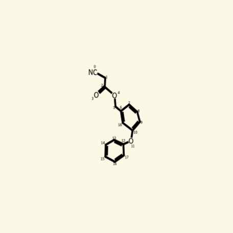 N#CCC(=O)OCc1cccc(Oc2ccccc2)c1